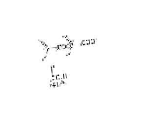 C=C(C)C(=O)[O-].C=C(C)C(=O)[O-].CC(=O)O.[Pb+2]